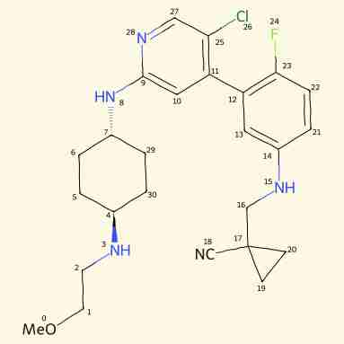 COCCN[C@H]1CC[C@H](Nc2cc(-c3cc(NCC4(C#N)CC4)ccc3F)c(Cl)cn2)CC1